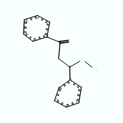 NNC(CC(=O)c1ccccc1)c1ccccc1